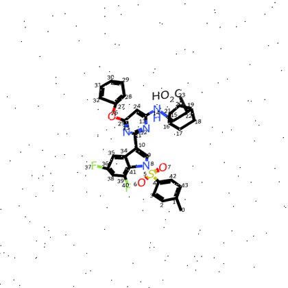 Cc1ccc(S(=O)(=O)n2cc(-c3nc(NC4C5CCC(CC5)C4C(=O)O)cc(Oc4ccccc4)n3)c3cc(F)cc(F)c32)cc1